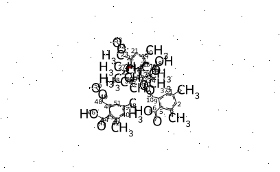 Cc1cc(C)c(C(=O)O)c(COOC(c2c(C(=O)O)c(C)cc(C)c2C(C)(C)C)(C(C)(C)C)C(C)(C)C)c1.Cc1cc(C)c(C(=O)O)c(CO[O])c1.[O][O]